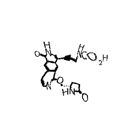 O=C(O)NCC#Cc1c[nH]c(=O)c2cc3ccnc(OC[C@@H]4CCC(=O)N4)c3cc12